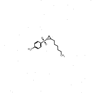 CCCCCCC1CN1S(=O)(=O)c1ccc(C)cc1